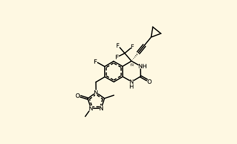 Cc1nn(C)c(=O)n1Cc1cc2c(cc1F)[C@@](C#CC1CC1)(C(F)(F)F)NC(=O)N2